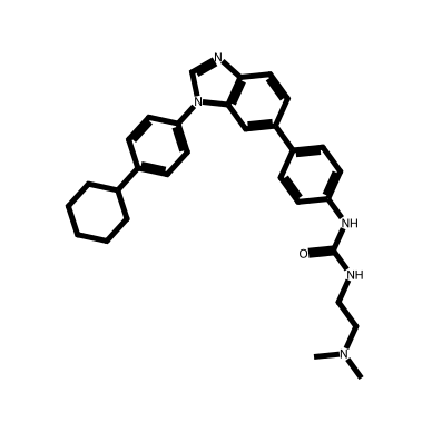 CN(C)CCNC(=O)Nc1ccc(-c2ccc3ncn(-c4ccc(C5CCCCC5)cc4)c3c2)cc1